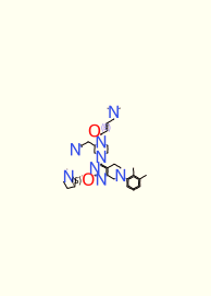 Cc1cccc(N2CCc3c(nc(OC[C@@H]4CCCN4C)nc3N3CCN(C(=O)/C=C/CN(C)C)C(CC#N)C3)C2)c1C